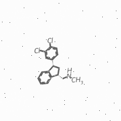 CNC[C@H]1C[C@@H](c2ccc(Cl)c(Cl)c2)c2ccccc21